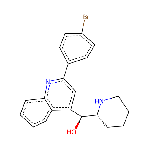 O[C@@H](c1cc(-c2ccc(Br)cc2)nc2ccccc12)[C@H]1CCCCN1